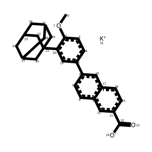 COc1ccc(-c2ccc3cc(C(=O)[O-])ccc3c2)cc1C12CC3CC(CC(C3)C1)C2.[K+]